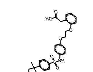 CCC(C)(C)c1ccc(S(=O)(=O)Nc2ccc(OCCOc3ccccc3CC(=O)O)cc2)cc1